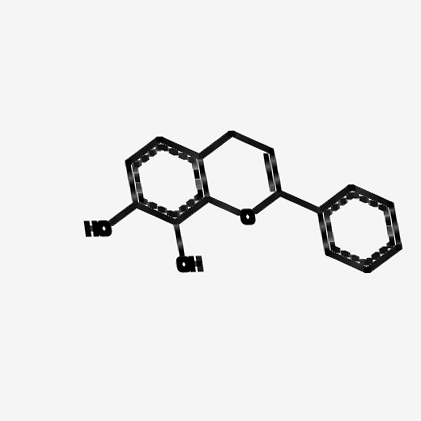 Oc1ccc2c(c1O)OC(c1ccccc1)=CC2